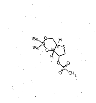 CC(C)(C)[Si]1(C(C)(C)C)OC[C@H]2SCC(OS(C)(=O)=O)[C@@H]2O1